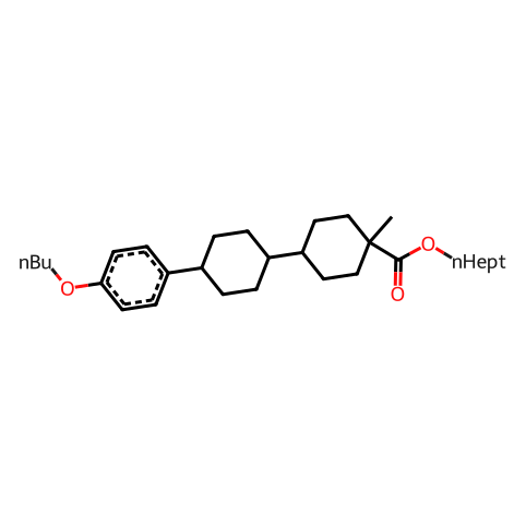 CCCCCCCOC(=O)C1(C)CCC(C2CCC(c3ccc(OCCCC)cc3)CC2)CC1